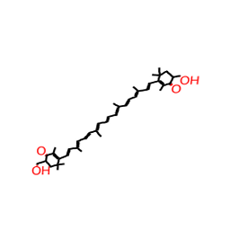 CC1=C(/C=C/C(C)=C/C=C/C(C)=C/C=C/C=C(C)/C=C/C=C(C)/C=C/C2=C(C)C(=O)C(CO)CC2(C)C)C(C)(C)CC(CO)C1=O